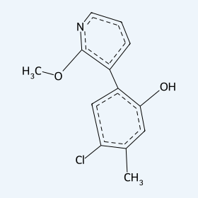 COc1ncccc1-c1cc(Cl)c(C)cc1O